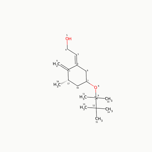 C=C1/C(=C\CO)CC(O[Si](C)(C)C(C)(C)C)C[C@@H]1C